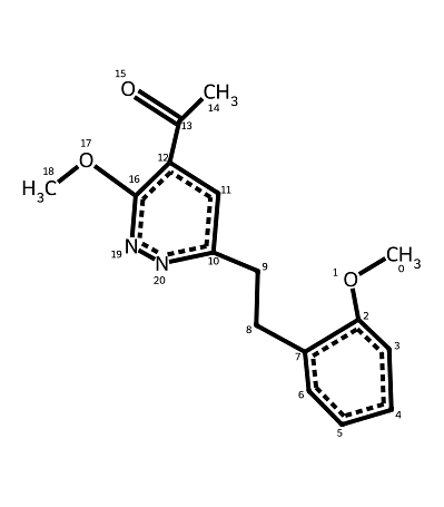 COc1ccccc1CCc1cc(C(C)=O)c(OC)nn1